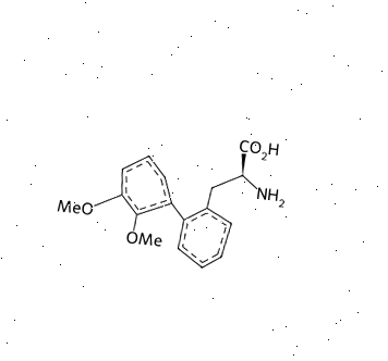 COc1cccc(-c2ccccc2C[C@H](N)C(=O)O)c1OC